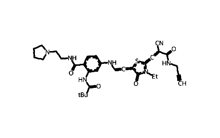 C#CCNC(=O)C(=C=c1sc(=C=CNc2ccc(C(=O)NCCN3CCCC3)c(NC(=O)C(C)(C)C)c2)c(=O)n1CC)C#N